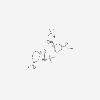 C=CC(=O)N1CC(CC(C)(C)NC(=O)[C@H]2CCCN(C(=O)C=C)C2)C[C@@H](C(=O)NC(C)(C)C)C1